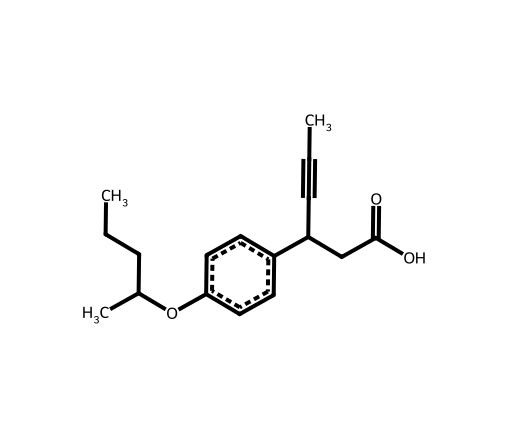 CC#CC(CC(=O)O)c1ccc(OC(C)CCC)cc1